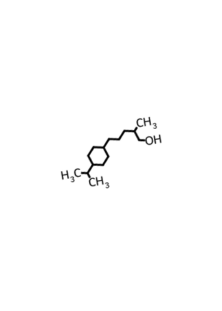 CC(CO)CCCC1CCC(C(C)C)CC1